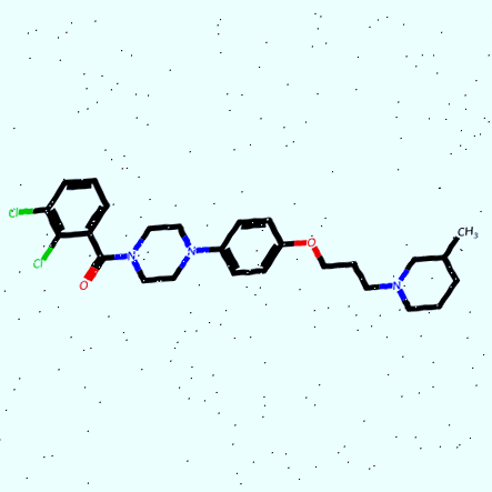 CC1CCCN(CCCOc2ccc(N3CCN(C(=O)c4cccc(Cl)c4Cl)CC3)cc2)C1